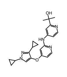 CC(C)(O)c1cc(Nc2cc(Oc3cn(C4CC4)nc3C3CC3)ccn2)ccn1